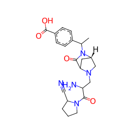 CC(c1ccc(C(=O)O)cc1)N1C(=O)C2C[C@H]1CN2CC(N)C(=O)N1CCCC1C#N